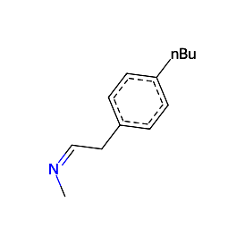 CCCCc1ccc(C/C=N\C)cc1